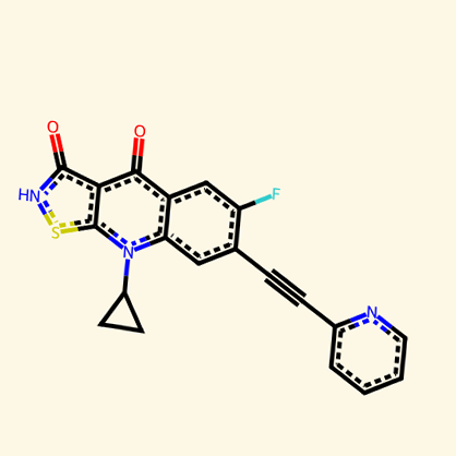 O=c1[nH]sc2c1c(=O)c1cc(F)c(C#Cc3ccccn3)cc1n2C1CC1